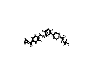 CC(C)(C)OC(=O)N1CCC(c2cccc(OCc3ccc(C(=O)C4CC4)cc3F)n2)CC1